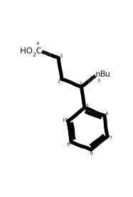 CCCCC(CCC(=O)O)c1ccccc1